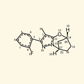 Cc1c(-c2ccccc2F)nn2c1O[C@@H]1CC[C@H]2C1